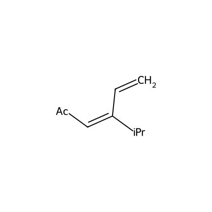 C=C/C(=C\C(C)=O)C(C)C